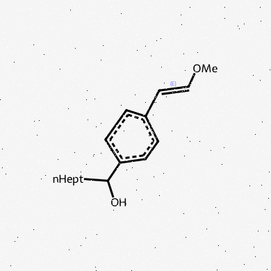 CCCCCCCC(O)c1ccc(/C=C/OC)cc1